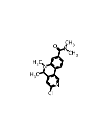 CC1c2cc(Cl)ncc2-c2ccc(C(=O)N(C)C)cc2N1C